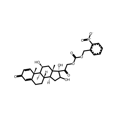 C[C@]12C=CC(=O)C=C1CC[C@H]1[C@@H]3CC(O)[C@](O)(C(=O)COC(=O)OCc4ccccc4[N+](=O)[O-])[C@@]3(C)C[C@H](O)[C@@]12F